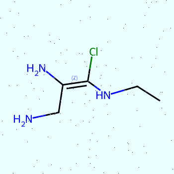 CCN/C(Cl)=C(/N)CN